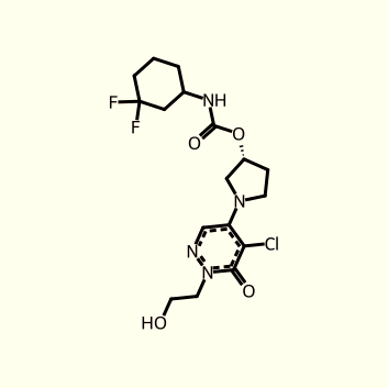 O=C(NC1CCCC(F)(F)C1)O[C@@H]1CCN(c2cnn(CCO)c(=O)c2Cl)C1